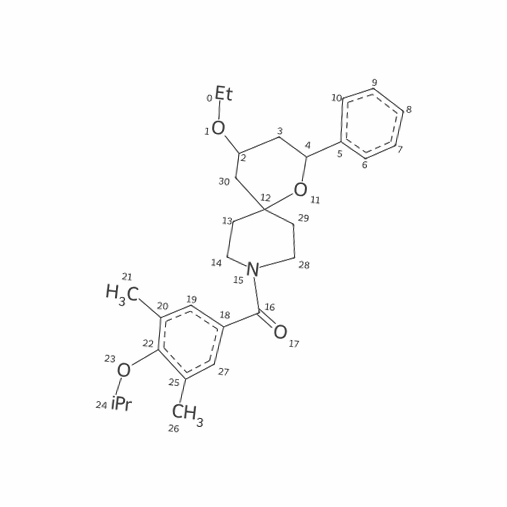 CCOC1CC(c2ccccc2)OC2(CCN(C(=O)c3cc(C)c(OC(C)C)c(C)c3)CC2)C1